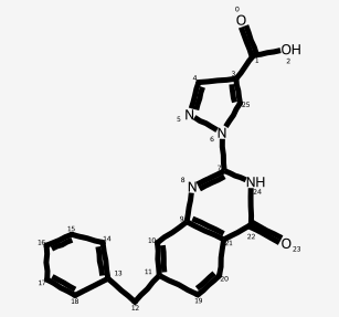 O=C(O)c1cnn(-c2nc3cc(Cc4ccccc4)ccc3c(=O)[nH]2)c1